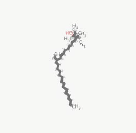 CCCCCCCCCCCCCCCCC(CC)CCCCCCCCCC(C(C)C)C(C)(O)CC